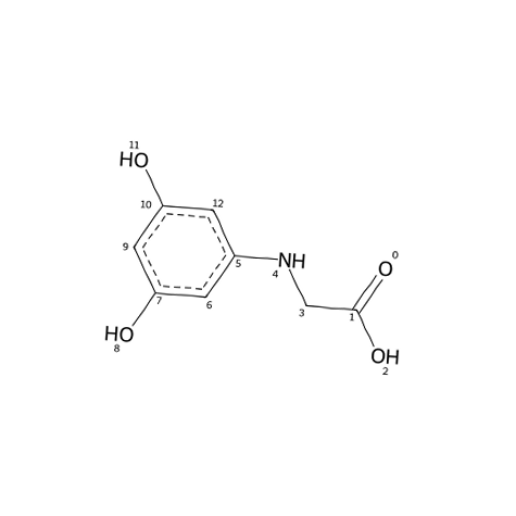 O=C(O)CNc1cc(O)cc(O)c1